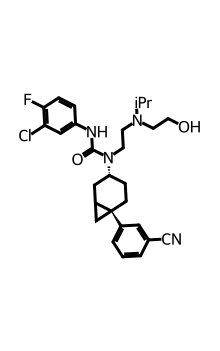 CC(C)N(CCO)CCN(C(=O)Nc1ccc(F)c(Cl)c1)[C@@H]1CC[C@]2(c3cccc(C#N)c3)CC2C1